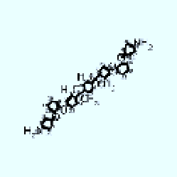 CC(C)(c1ccc(Oc2ccccc2Oc2ccc(N)cc2)cc1)c1ccc(C(C)(C)c2ccc(Oc3ccccc3Oc3ccc(N)cc3)cc2)cc1